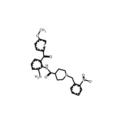 COc1ccc(C(=O)c2cccc(N)c2NC(=O)C2CCN(Cc3ccccc3[N+](=O)[O-])CC2)cc1